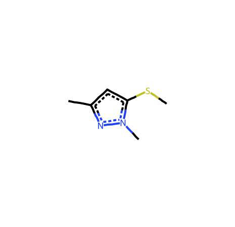 CSc1cc(C)nn1C